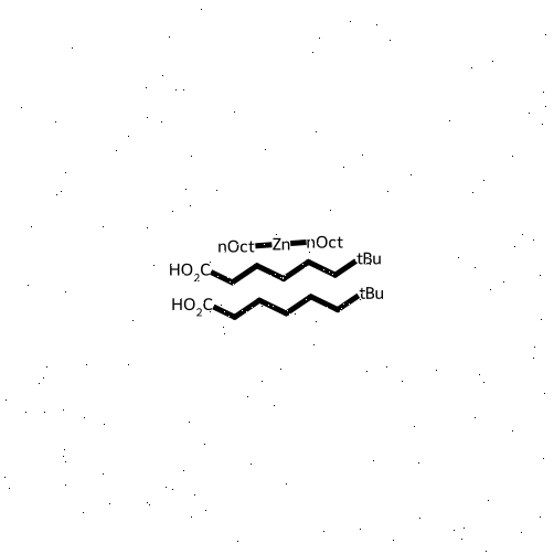 CC(C)(C)CCCCCC(=O)O.CC(C)(C)CCCCCC(=O)O.CCCCCCC[CH2][Zn][CH2]CCCCCCC